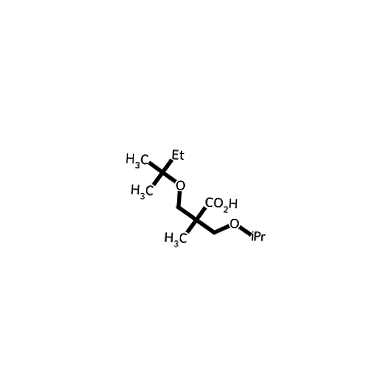 CCC(C)(C)OCC(C)(COC(C)C)C(=O)O